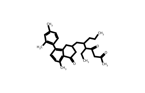 CCCC(CC1CC(=O)c2c(C)ccc(-c3ccc(C)cc3C)c2C1)C(CC)C(=O)CC(C)=O